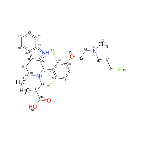 CC(CN1C(c2c(F)ccc(OCCN(C)CCCF)c2F)c2[nH]c3ccccc3c2C[C@H]1C)C(=O)O